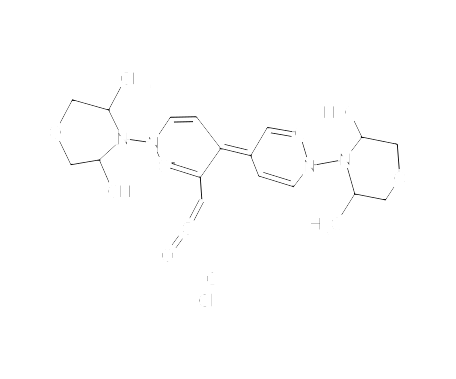 CC1COCC(C)N1N1[C+]=CC(=C2C=CN(N3C(C)COCC3C)[C+]=C2C=C=O)C=C1.[Cl-].[Cl-]